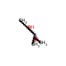 CCCCCCCCCCC(O)CCCCCCC/C=C\C[C@@H](CCCCCC)OC(=O)CCCCC